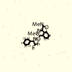 CNC(=O)/C(=N/OC)c1ccccc1CO/N=C(/c1ccccc1)C(F)F